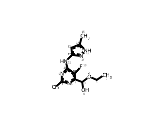 CCOC(O)c1nc(Cl)nc(Nc2cc(C)[nH]n2)c1F